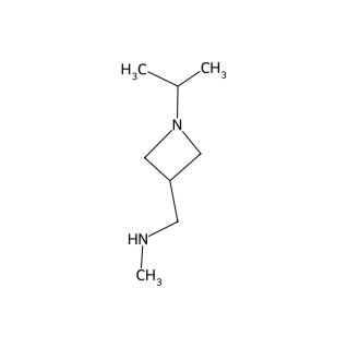 CNCC1CN(C(C)C)C1